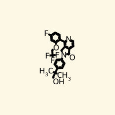 CC(C)(CO)c1ccc(N2Cc3c(ccnc3-c3ccc(F)cc3OCC(F)(F)F)C2=O)cc1